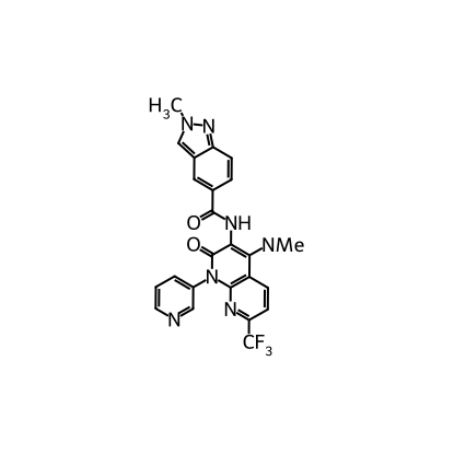 CNc1c(NC(=O)c2ccc3nn(C)cc3c2)c(=O)n(-c2cccnc2)c2nc(C(F)(F)F)ccc12